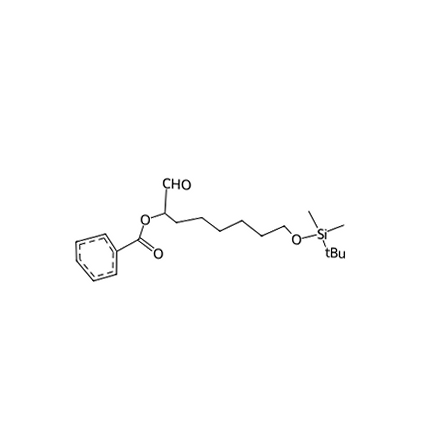 CC(C)(C)[Si](C)(C)OCCCCCCC(C=O)OC(=O)c1ccccc1